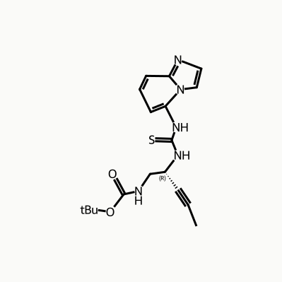 CC#C[C@H](CNC(=O)OC(C)(C)C)NC(=S)Nc1cccc2nccn12